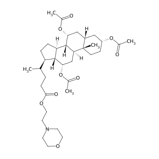 CC(=O)O[C@@H]1CC[C@@]2(C)[C@@H](C1)C[C@@H](OC(C)=O)[C@H]1[C@@H]3CC[C@H](C(C)CCC(=O)OCCN4CCOCC4)[C@H]3[C@@H](OC(C)=O)C[C@@H]12